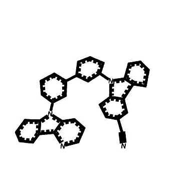 N#Cc1ccc2c(c1)c1ccccc1n2-c1cccc(-c2cccc(-n3c4ccccc4c4ncccc43)c2)c1